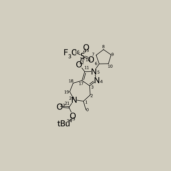 CC1Cc2nn(C3CCCC3)c(OS(=O)(=O)C(F)(F)F)c2CCN1C(=O)OC(C)(C)C